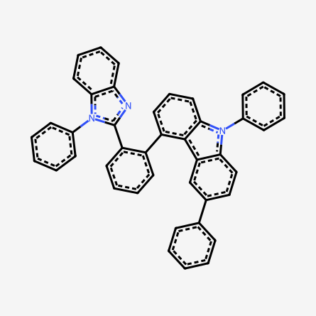 c1ccc(-c2ccc3c(c2)c2c(-c4ccccc4-c4nc5ccccc5n4-c4ccccc4)cccc2n3-c2ccccc2)cc1